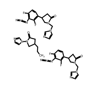 CCCC1CC(=O)N(n2ccnc2)C1.[N-]=[N+]=Nc1c(F)ccc(C2CC(=O)N(Cn3ccnc3)C2)c1F.[N-]=[N+]=Nc1c(F)ccc(C2CC(=O)N(Cn3ccnc3)C2)c1F